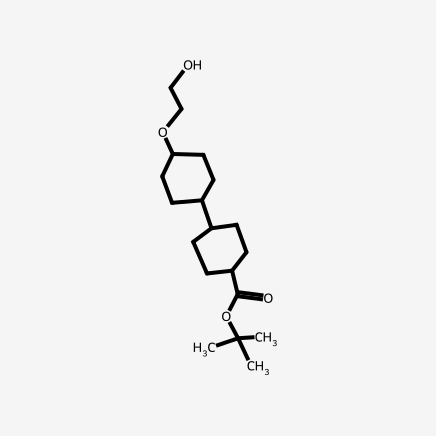 CC(C)(C)OC(=O)C1CCC(C2CCC(OCCO)CC2)CC1